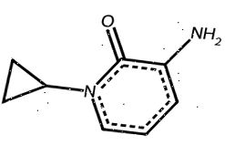 Nc1cccn(C2CC2)c1=O